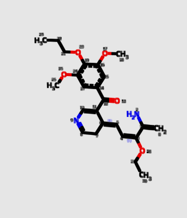 C=C(N)/C(=C\C=C1/CC=NC=C1C(=O)c1cc(OC)c(OCCC)c(OC)c1)OCC